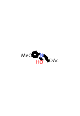 COc1ccc(CN(CC#CCOC(C)=O)CCO)cc1